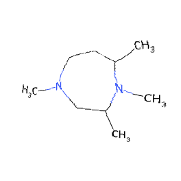 CC1CCN(C)CC(C)N1C